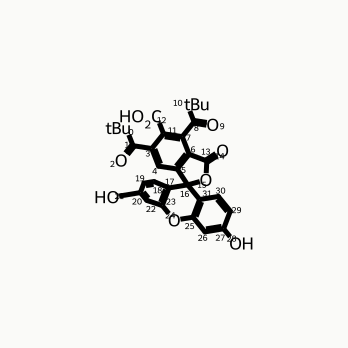 CC(C)(C)C(=O)c1cc2c(c(C(=O)C(C)(C)C)c1C(=O)O)C(=O)OC21c2ccc(O)cc2Oc2cc(O)ccc21